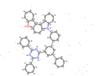 c1ccc(-c2cc(-c3cccc(-n4c5ccccc5c5c6c(ccc54)oc4ccccc46)c3)cc(-c3nc(-c4ccccc4)nc(-c4ccccc4)n3)c2)cc1